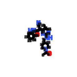 CC(=O)N1CCC(CNc2ncc(C)c(/C(C#N)=C3/Nc4ccccc4O3)n2)CC1